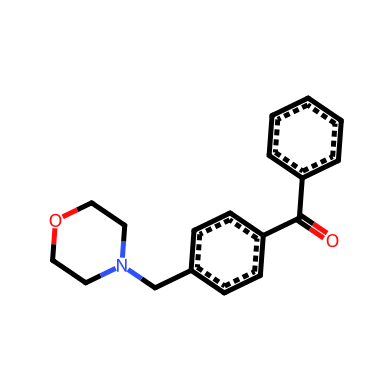 O=C(c1ccccc1)c1ccc(CN2CCOCC2)cc1